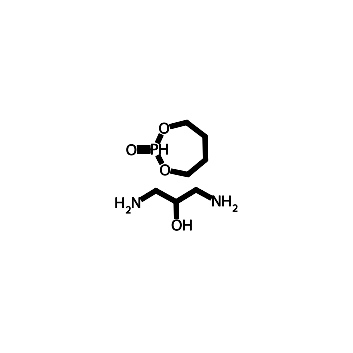 NCC(O)CN.O=[PH]1OCCCCO1